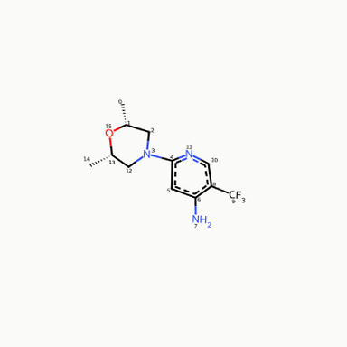 C[C@@H]1CN(c2cc(N)c(C(F)(F)F)cn2)C[C@H](C)O1